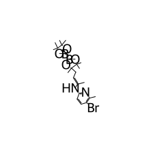 C/C(=C\CC1(C)OB(B2OC(C)(C)C(C)(C)O2)OC1(C)C)Nc1ccc(Br)c(C)n1